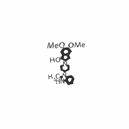 COc1cc2c(cc1OC)[C@@H](O)[C@@H](N1CCC(N3c4ccccc4NC3C)CC1)C2